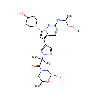 COC[C@H](C)Nc1ncc2c(-c3cnn(C(C)(C)C(=O)N4C[C@H](C)O[C@@H](C)C4)c3)cc([C@H]3CC[C@H](O)CC3)n2n1